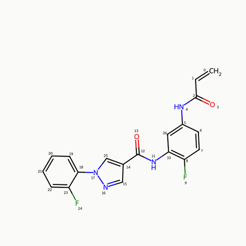 C=CC(=O)Nc1ccc(F)c(NC(=O)c2cnn(-c3ccccc3F)c2)c1